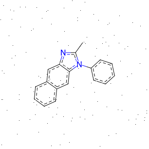 Cc1nc2cc3ccccc3cc2n1-c1ccccc1